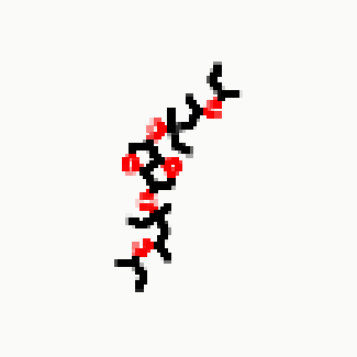 CCC(C)OC(C)CC(C)(CC)OC1COC2C(OC(C)(CC)CC(C)OC(C)CC)COC12